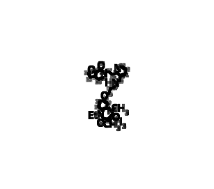 CCN1C(=O)C(C)(C)C(=O)N(C)c2cc(OCCCNCc3cccnc3CCn3ccc4ccoc4c3=O)ccc21